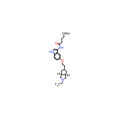 COCCCC(=O)Nc1c[nH]c2ccc(OCCC3C[C@@H]4CN(CC(F)(F)F)C[C@@H]4C3)cc12